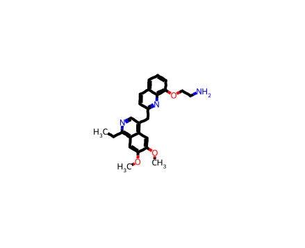 CCc1ncc(Cc2ccc3cccc(OCCN)c3n2)c2cc(OC)c(OC)cc12